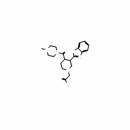 CN1CCN(C(=O)C2CCN(CC(N)=O)CC2c2nc3ccccc3s2)CC1